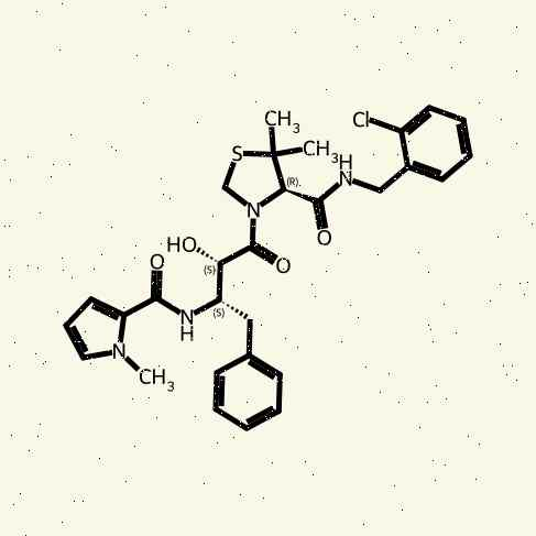 Cn1cccc1C(=O)N[C@@H](Cc1ccccc1)[C@H](O)C(=O)N1CSC(C)(C)[C@H]1C(=O)NCc1ccccc1Cl